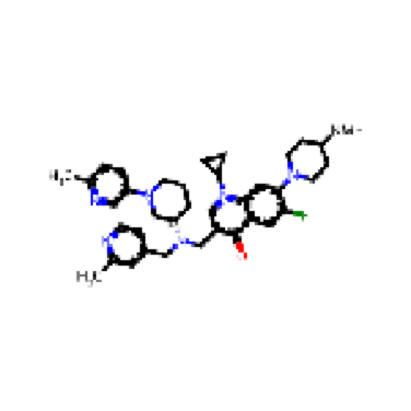 CNC1CCN(c2cc3c(cc2F)c(=O)c(CN(Cc2ccnc(C)c2)[C@H]2CCCN(c4ccc(C)nc4)C2)cn3C2CC2)CC1